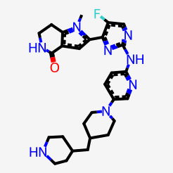 Cn1c(-c2nc(Nc3ccc(N4CCC(CC5CCNCC5)CC4)cn3)ncc2F)cc2c1CCNC2=O